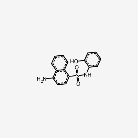 Nc1ccc(S(=O)(=O)Nc2ccccc2O)c2ccccc12